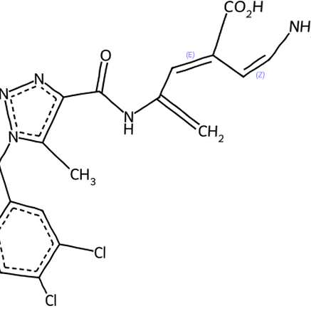 C=C(/C=C(\C=C/N)C(=O)O)NC(=O)c1nnn(Cc2ccc(Cl)c(Cl)c2)c1C